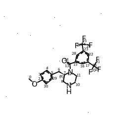 COc1ccc(C[C@@H]2CNCCN2C(=O)c2cc(C(F)(F)F)cc(C(F)(F)F)c2)cc1